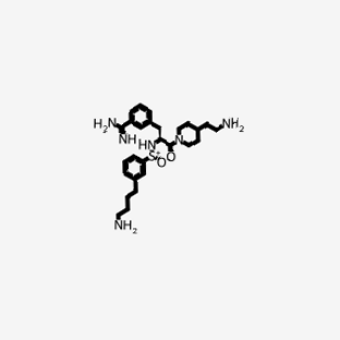 N=C(N)c1cccc(C[C@H](N[S+]([O-])c2cccc(CCCCN)c2)C(=O)N2CCC(CCN)CC2)c1